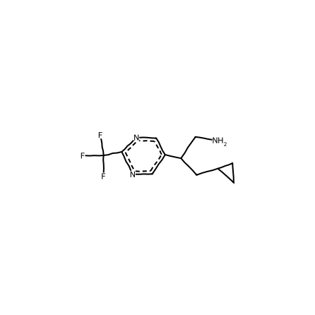 NCC(CC1CC1)c1cnc(C(F)(F)F)nc1